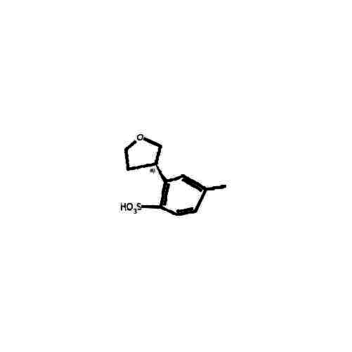 Cc1ccc(S(=O)(=O)O)c([C@H]2CCOC2)c1